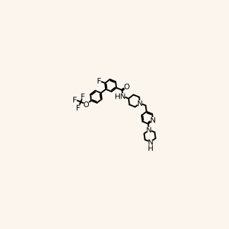 O=C(NC1CCN(Cc2ccc(N3CCNCC3)nc2)CC1)c1ccc(F)c(-c2ccc(OC(F)(F)F)cc2)c1